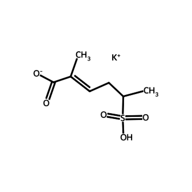 C/C(=C\CC(C)S(=O)(=O)O)C(=O)[O-].[K+]